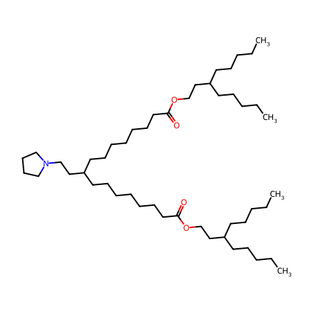 CCCCCC(CCCCC)CCOC(=O)CCCCCCCC(CCCCCCCC(=O)OCCC(CCCCC)CCCCC)CCN1CCCC1